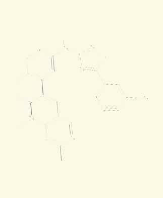 Cc1cc2c(cn1)cc(-c1cc(Nc3noc(-c4cccc(C#N)c4)n3)ccc1C)c(=O)n2C